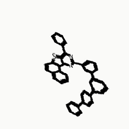 c1ccc(-c2ccc(-c3cccc(-c4cccc(-c5nc(-c6ccccc6)c6sc7ccc8ccccc8c7c6n5)c4)c3)cc2)cc1